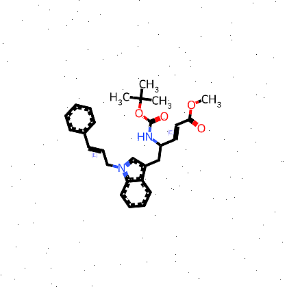 COC(=O)/C=C/C(Cc1cn(C/C=C/c2ccccc2)c2ccccc12)NC(=O)OC(C)(C)C